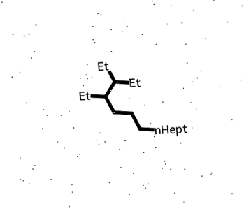 CCCCCCCCCCC(CC)C(CC)CC